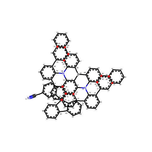 N#Cc1cccc(C2(c3cc4c5c(c3)N(c3c(-c6ccccc6)cccc3-c3ccccc3)c3cc(-c6ccccc6)ccc3B5c3ccc(-c5ccccc5)cc3N4c3c(-c4ccccc4)cccc3-c3ccccc3)c3ccccc3-c3ccccc32)c1